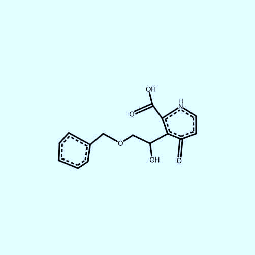 O=C(O)c1[nH]ccc(=O)c1C(O)COCc1ccccc1